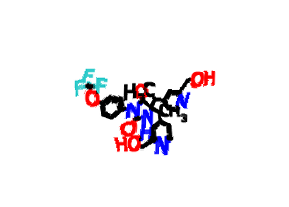 CC(c1ccnc(CO)c1)C1(C(C)c2ccnc(CO)c2)NC(=O)N(c2ccc(OC(F)(F)F)cc2)C1=O